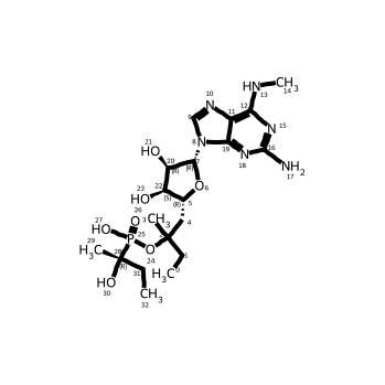 CCC(C)(C[C@H]1O[C@@H](n2cnc3c(NC)nc(N)nc32)[C@H](O)[C@@H]1O)OP(=O)(O)[C@@](C)(O)CC